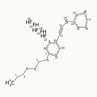 CCCCCCCc1ccc(C#CSc2ccccc2)cc1.F.F.F.F.F